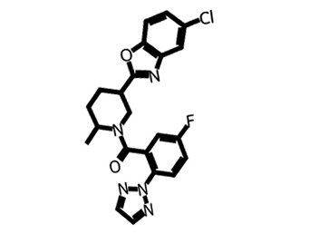 CC1CCC(c2nc3cc(Cl)ccc3o2)CN1C(=O)c1cc(F)ccc1-n1nccn1